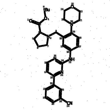 CC(C)(C)OC(=O)C1CCCN1Cc1cc(Nc2nccc(-c3cccc(C#N)c3)n2)ccc1N1CCOCC1